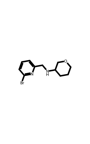 Brc1cccc(CNC2CCCOC2)n1